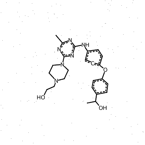 Cc1nc(Nc2ccc(Oc3ccc(C(C)O)cc3)cc2)nc(N2CCN(CCO)CC2)n1